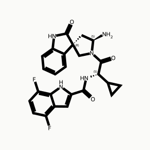 N[C@@H]1C[C@@]2(CN1C(=O)[C@@H](NC(=O)c1cc3c(F)ccc(F)c3[nH]1)C1CC1)C(=O)Nc1ccccc12